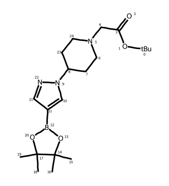 CC(C)(C)OC(=O)CN1CCC(n2cc(B3OC(C)(C)C(C)(C)O3)cn2)CC1